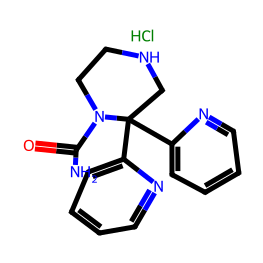 Cl.NC(=O)N1CCNCC1(c1ccccn1)c1ccccn1